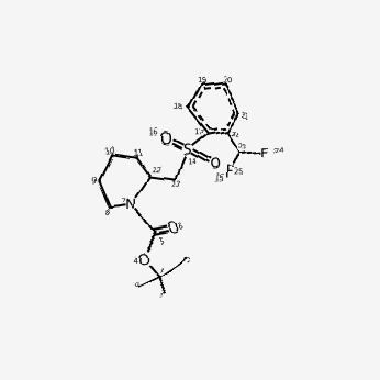 CC(C)(C)OC(=O)N1CCCCC1CS(=O)(=O)c1ccccc1C(F)F